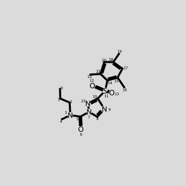 CCCN(C)C(=O)n1cnc(S(=O)(=O)c2c(C)cc(C)cc2C)n1